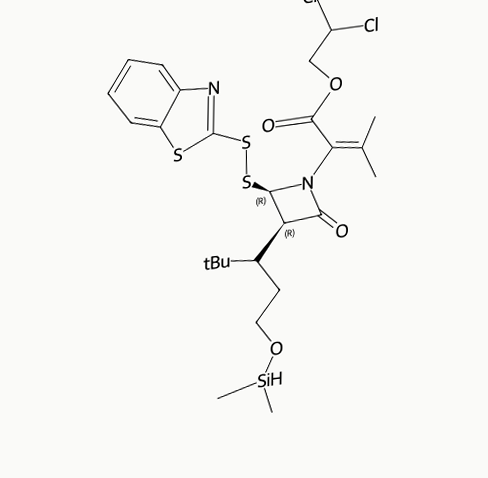 CC(C)=C(C(=O)OCC(Cl)Cl)N1C(=O)[C@@H](C(CCO[SiH](C)C)C(C)(C)C)[C@H]1SSc1nc2ccccc2s1